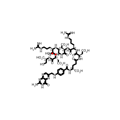 N=C(N)NCCC[C@@H](NC(=O)[C@@H](CC(=O)O)NC(=O)CC[C@@H](NC(=O)c1ccc(NCc2cnc3nc(N)[nH]c(=O)c3n2)cc1)C(=O)O)C(=O)N[C@H](CC(=O)O)C(=O)N[C@H](CC(=O)O)C(=O)N[C@H](CCCNC(=N)N)C(=O)N[C@H](CC(=O)O)C(=O)N[C@H](CS)C(=O)O